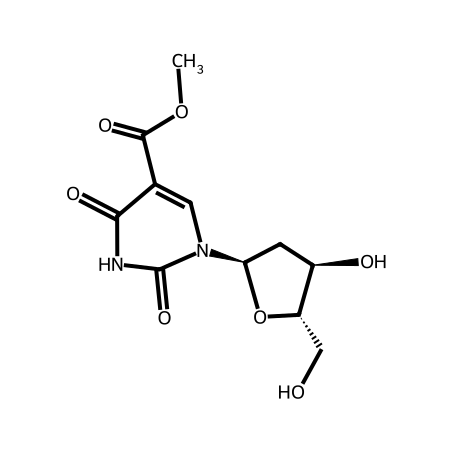 COC(=O)c1cn([C@H]2C[C@@H](O)[C@H](CO)O2)c(=O)[nH]c1=O